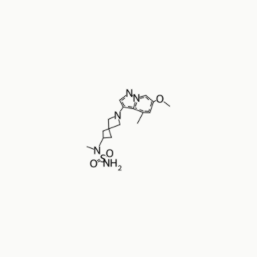 COc1cc(C)c2c(N3CC4(CC(N(C)S(N)(=O)=O)C4)C3)cnn2c1